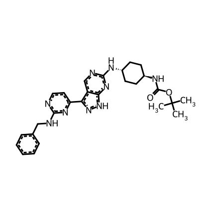 CC(C)(C)OC(=O)N[C@H]1CC[C@H](Nc2ncc3c(-c4ccnc(NCc5ccccc5)n4)n[nH]c3n2)CC1